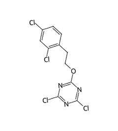 Clc1ccc(CCOc2nc(Cl)nc(Cl)n2)c(Cl)c1